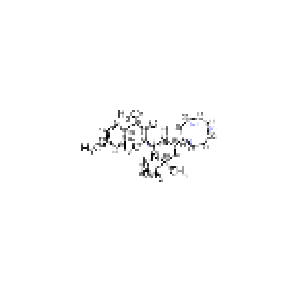 C=NN1/C(=C(\C)C(=O)C(C)c2ccc(C)cc2)NC(/C2=C/C/C=C\C=C/C2)CC1(C)C